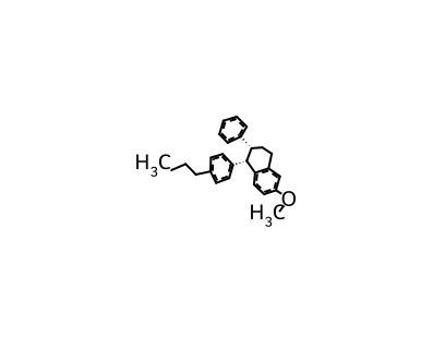 CCCCc1ccc([C@H]2c3ccc(OC)cc3CC[C@H]2c2ccccc2)cc1